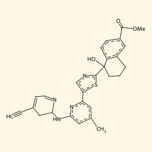 C#CC1=CC=NC(Nc2cc(C)cc(-c3cnc(C4(O)CCCc5cc(C(=O)OC)ccc54)s3)n2)C1